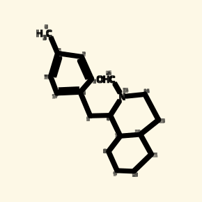 Cc1ccc(CC2C3CCCCC3CCN2C=O)cc1